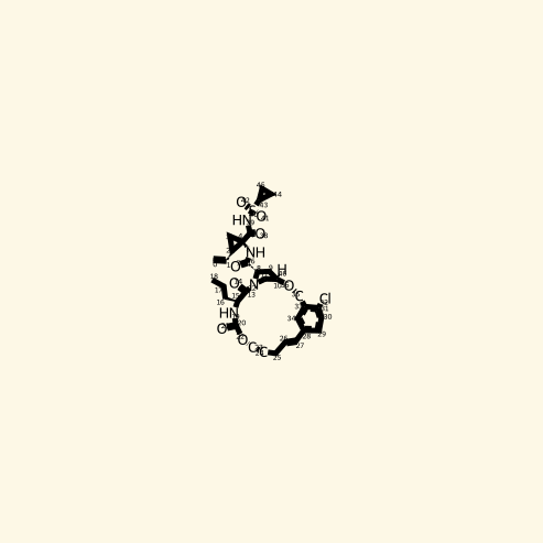 C=C[C@@H]1C[C@]1(NC(=O)[C@@H]1C[C@@H]2CN1C(=O)[C@H](CCC)NC(=O)OCCC/C=C/c1ccc(Cl)c(c1)CO2)C(=O)NS(=O)(=O)C1CC1